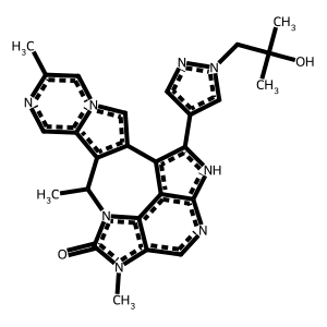 Cc1cn2cc3c(c2cn1)C(C)n1c(=O)n(C)c2cnc4[nH]c(-c5cnn(CC(C)(C)O)c5)c-3c4c21